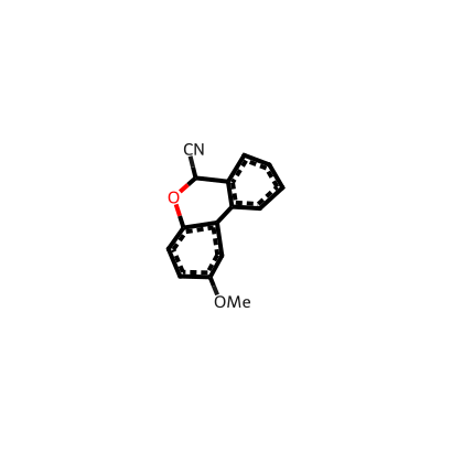 COc1ccc2c(c1)-c1ccccc1C(C#N)O2